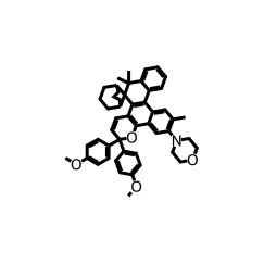 COc1ccc(C2(c3ccc(OC)cc3)C=Cc3c4c(c5cc(C)c(N6CCOCC6)cc5c3O2)-c2ccccc2C(C)(C)C42C3CCCC2CCC3)cc1